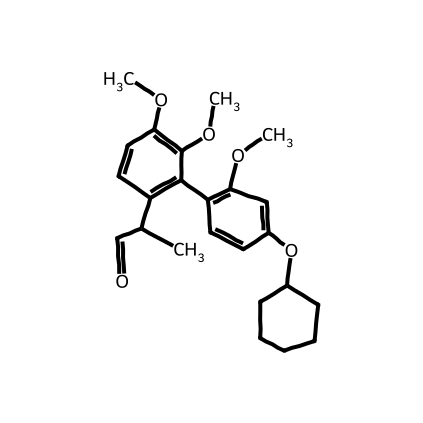 COc1cc(OC2CCCCC2)ccc1-c1c(C(C)C=O)ccc(OC)c1OC